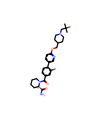 CC(C)(F)CN1CCC(COc2ccc(-c3ccc(C(=O)N4CCCC[C@@H]4C(N)=O)cc3F)cn2)CC1